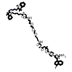 CN(CC(=O)NCCCOCCOCCOCCCNC(=O)CN(C)C(=O)CC(C)(C)CC(=O)N1CCN(c2cc(-c3ccc(F)c4ccccc34)nc(N)n2)CC1)C(=O)CCCCCN1\C(=C/C=C/C=C/C2=[N+](C)c3ccccc3C2(C)C)C(C)(C)c2ccccc21